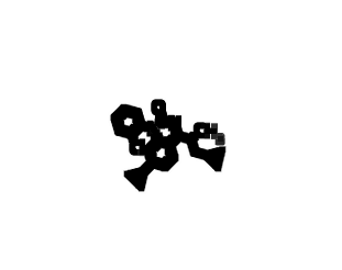 CC(CC1CC1)c1nc(=O)n(-c2ccccc2Cl)c2cc(C3CC3)ccc12